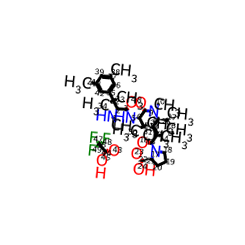 CN[C@H](C(=O)N[C@H](C(=O)N(C)[C@H](C=C(C)C(=O)N1CCC[C@H]1C(=O)O)C(C)C)C(C)(C)C)C(C)(C)c1cc(C)cc(C)c1.O=C(O)C(F)(F)F